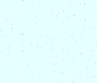 CCCCCC.O=P(O)(O)OP(=O)(O)O